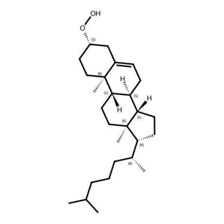 CC(C)CCC[C@@H](C)[C@H]1CC[C@H]2[C@@H]3CC=C4C[C@@H](OO)CC[C@]4(C)[C@H]3CC[C@]12C